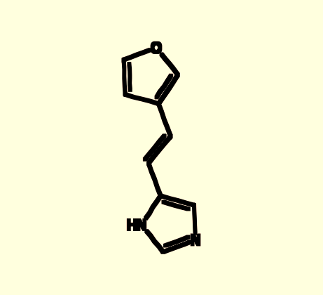 C(=C\c1cnc[nH]1)/c1ccoc1